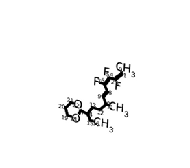 C\C=C(F)/C(F)=C(F)\C=C\C(C)CCC(CC)C1OCCCO1